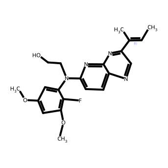 C/C=C(\C)c1cnc2ccc(N(CCO)c3cc(OC)cc(OC)c3F)nc2n1